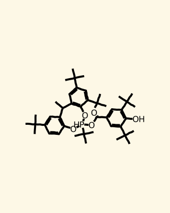 CC1c2cc(C(C)(C)C)ccc2O[PH](OC(=O)c2cc(C(C)(C)C)c(O)c(C(C)(C)C)c2)(C(C)(C)C)Oc2c1cc(C(C)(C)C)cc2C(C)(C)C